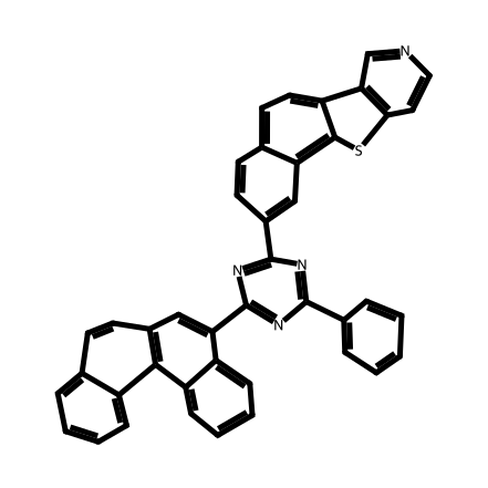 c1ccc(-c2nc(-c3ccc4ccc5c6cnccc6sc5c4c3)nc(-c3cc4ccc5ccccc5c4c4ccccc34)n2)cc1